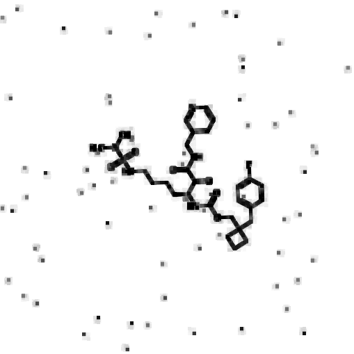 CN(C)S(=O)(=O)NCCCC[C@H](NC(=O)OCC1(Cc2ccc(F)cc2)CCC1)C(=O)C(=O)NCc1cccnc1